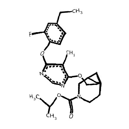 CCc1ccc(Oc2ncnc(OCC34CCN(C(=O)OC(C)C)CC3C4)c2C)c(F)c1